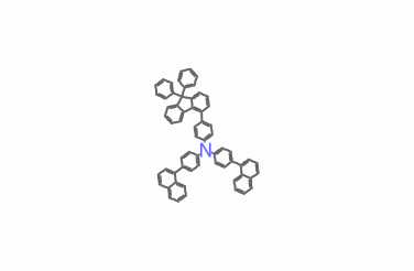 c1ccc(C2(c3ccccc3)c3ccccc3-c3c(-c4ccc(N(c5ccc(-c6cccc7ccccc67)cc5)c5ccc(-c6cccc7ccccc67)cc5)cc4)cccc32)cc1